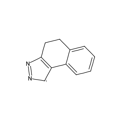 [C]1N=NC2=C1c1ccccc1CC2